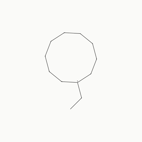 CC[C]1CCCCCCCCC1